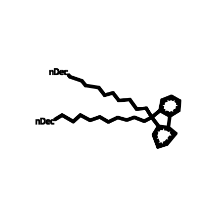 CCCCCCCCCCCCCCCCCCCCC1(CCCCCCCCCCCCCCCCCCCC)c2ccccc2-c2ccccc21